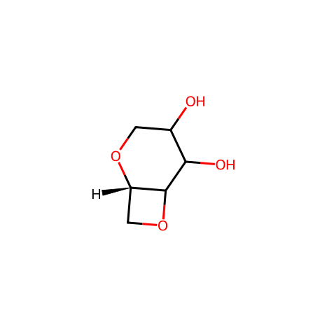 OC1CO[C@H]2COC2C1O